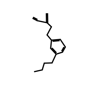 C=CC(=C)CCc1cccc(CCCC)c1